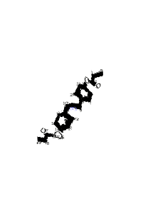 C=CC(=O)Oc1ccc(/C=C/c2ccc(OC(=O)C=C)cc2)cc1